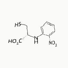 O=C(O)[C@H](CS)Nc1ccccc1[N+](=O)[O-]